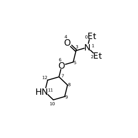 CCN(CC)C(=O)COC1CCCNC1